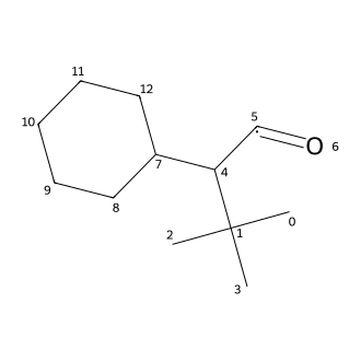 CC(C)(C)C([C]=O)C1CCCCC1